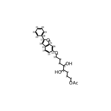 CC(=O)OCCCC(O)C(O)CCCOc1ccc2cc(-c3ccccc3)oc2c1